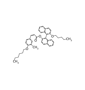 CCCCCCOc1ccc(/C=C\C(=O)Oc2ccc3ccccc3c2-c2c(OCCCCC)ccc3ccccc23)cc1C